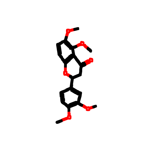 COc1ccc(C2CC(=O)c3c(ccc(OC)c3OC)O2)cc1OC